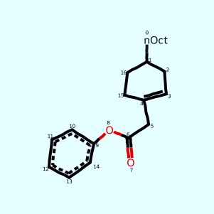 CCCCCCCCC1CC=C(CC(=O)Oc2ccccc2)CC1